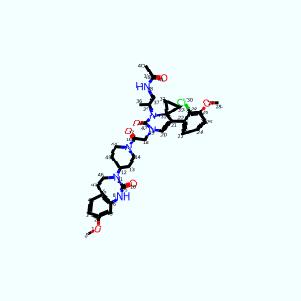 COc1ccc2c(c1)NC(=O)N(C1CCN(C(=O)CN3C=C(c4cccc(OC)c4Cl)C4(CC4)N(C(C)CNC(C)=O)C3=O)CC1)CC2